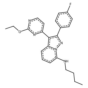 CCCCNc1cccc2c(-c3ccnc(OCC)n3)c(-c3ccc(F)cc3)nn12